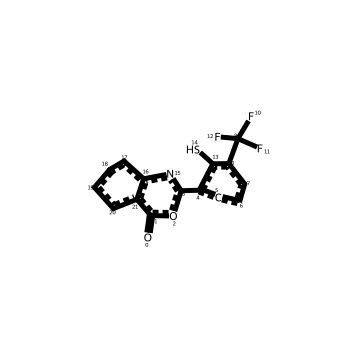 O=c1oc(-c2cccc(C(F)(F)F)c2S)nc2ccccc12